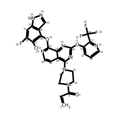 C=CC(=O)N1CCN(c2nc(Oc3cccnc3C(F)(F)F)nc3c(Oc4c(Cl)c(F)cc5[nH]ncc45)nccc23)CC1